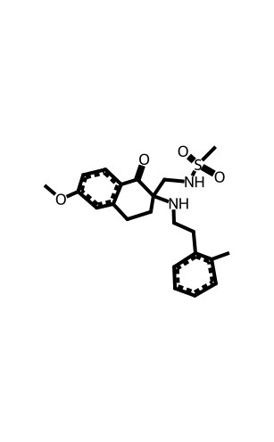 COc1ccc2c(c1)CCC(CNS(C)(=O)=O)(NCCc1ccccc1C)C2=O